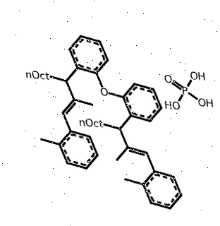 CCCCCCCCC(C(C)=Cc1ccccc1C)c1ccccc1Oc1ccccc1C(CCCCCCCC)C(C)=Cc1ccccc1C.O=P(O)(O)O